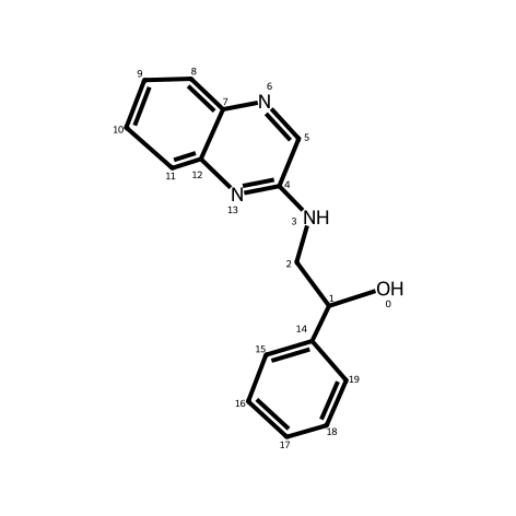 OC(CNc1cnc2ccccc2n1)c1ccccc1